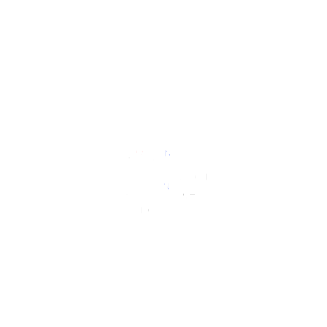 CCC1(CC)C(=O)N(CCO)CC(C)(C)N1OC